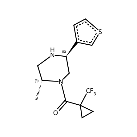 C[C@@H]1CN[C@@H](c2ccsc2)CN1C(=O)C1(C(F)(F)F)CC1